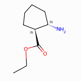 CCOC(=O)[C@H]1CCCC[C@@H]1N